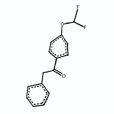 O=C(Cc1ccccc1)c1ccc(OC(F)F)cc1